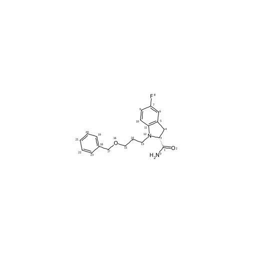 NC(=O)[C@H]1Cc2cc(F)ccc2N1C[CH]COCc1ccccc1